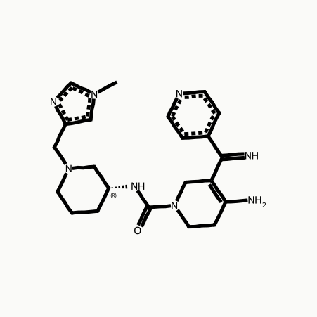 Cn1cnc(CN2CCC[C@@H](NC(=O)N3CCC(N)=C(C(=N)c4ccncc4)C3)C2)c1